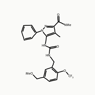 CNC(=O)c1nn(-c2ccccc2)c(NC(=O)NCc2cc(COC)ccc2OC(F)(F)F)c1C